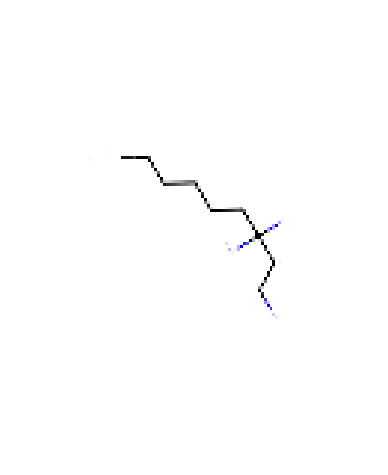 CCCCCCCCCCCCC(N)(N)CCN